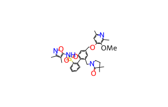 COc1c(OCc2ccc(-c3ccccc3S(=O)(=O)Nc3onc(C)c3C)c(CN3CCC(C)(C)C3=O)c2)cc(C)nc1C